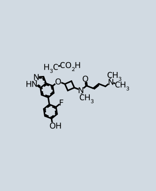 CC(=O)O.CN(C)C/C=C/C(=O)N(C)C1CC(Oc2cc(-c3ccc(O)cc3F)cc3[nH]ncc23)C1